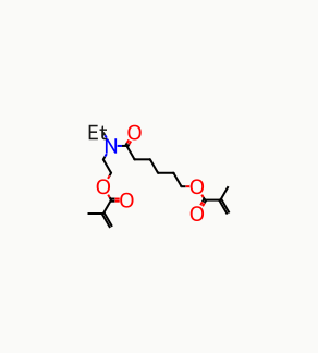 C=C(C)C(=O)OCCCCCC(=O)N(CC)CCOC(=O)C(=C)C